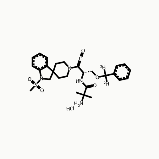 Cl.[2H]C([2H])(OC[C@H](NC(=O)C(C)(C)N)C(=C=O)N1CCC2(CC1)CN(S(C)(=O)=O)c1ccccc12)c1ccccc1